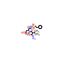 CC(C)C(C(N)=O)C(=O)N(C)C(CC(=O)O)C(=O)CNS(=O)(=O)CCc1ccccc1